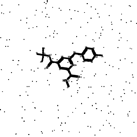 CNC(=O)c1cc(C(=O)OC(C)(C)C)cc(Cc2ccc(C)cc2)n1